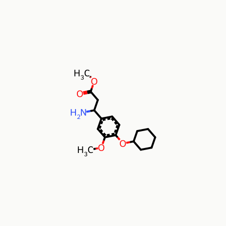 COC(=O)CC(N)c1ccc(OC2CCCCC2)c(OC)c1